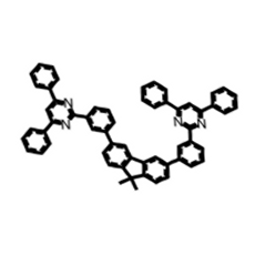 CC1(C)c2ccc(-c3cccc(-c4nc(-c5ccccc5)cc(-c5ccccc5)n4)c3)cc2-c2cc(-c3cccc(-c4nc(-c5ccccc5)cc(-c5ccccc5)n4)c3)ccc21